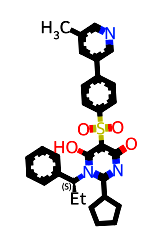 CC[C@@H](c1ccccc1)n1c(C2CCCC2)nc(=O)c(S(=O)(=O)c2ccc(-c3cncc(C)c3)cc2)c1O